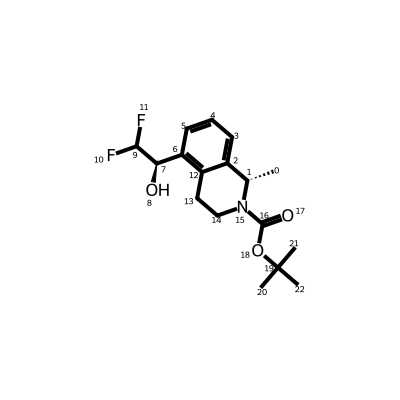 C[C@H]1c2cccc([C@@H](O)C(F)F)c2CCN1C(=O)OC(C)(C)C